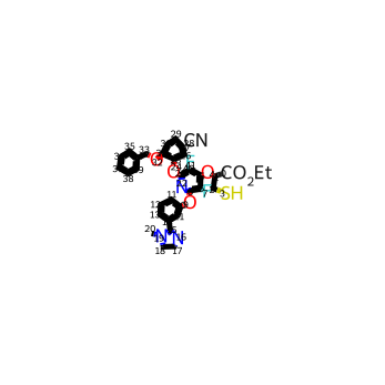 CCOC(=O)C(CS)Oc1c(F)c(Oc2cccc(C3=NCCN3C)c2)nc(Oc2cc(C#N)ccc2OCc2ccccc2)c1F